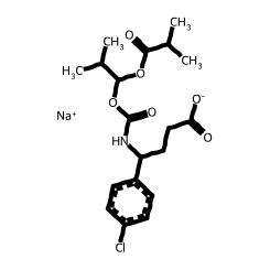 CC(C)C(=O)OC(OC(=O)NC(CCC(=O)[O-])c1ccc(Cl)cc1)C(C)C.[Na+]